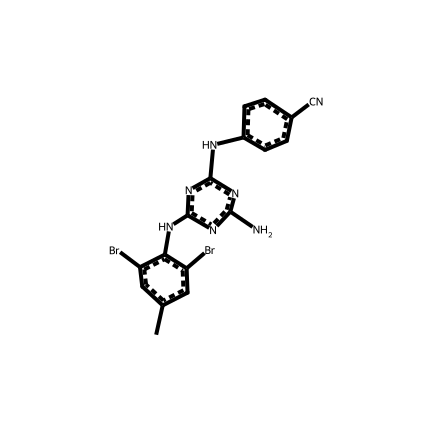 Cc1cc(Br)c(Nc2nc(N)nc(Nc3ccc(C#N)cc3)n2)c(Br)c1